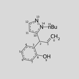 C=CC(c1ccccc1O)c1ccnn1CCCC